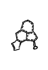 O=c1cc2cccc3cc4c(c1c32)=CC=C4